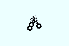 C[Si](C)(C)c1sc2cc3ccccc3cc2c1Sc1ccccc1